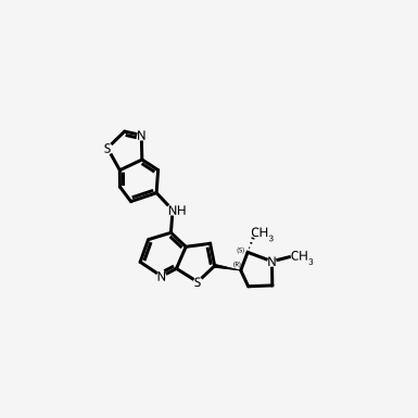 C[C@H]1[C@H](c2cc3c(Nc4ccc5scnc5c4)ccnc3s2)CCN1C